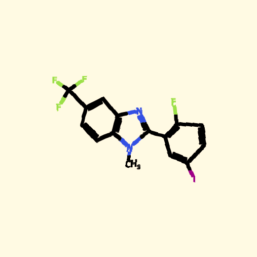 Cn1c(-c2cc(I)ccc2F)nc2cc(C(F)(F)F)ccc21